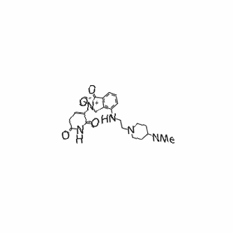 CNC1CCN(CCNc2cccc3c2C[N+]([O-])(C2CCC(=O)NC2=O)C3=O)CC1